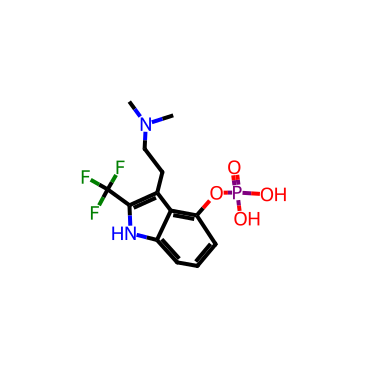 CN(C)CCc1c(C(F)(F)F)[nH]c2cccc(OP(=O)(O)O)c12